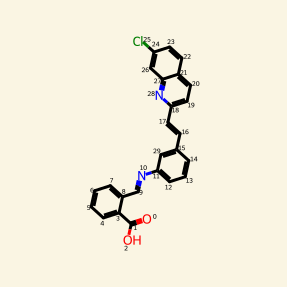 O=C(O)c1ccccc1/C=N/c1cccc(/C=C/c2ccc3ccc(Cl)cc3n2)c1